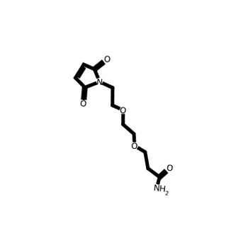 NC(=O)CCOCCOCCN1C(=O)C=CC1=O